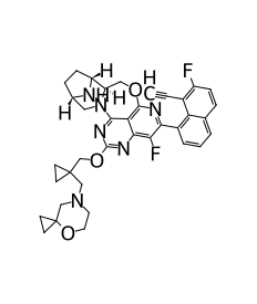 C#Cc1c(F)ccc2cccc(-c3nc4c5c(nc(OCC6(CN7CCOC8(CC8)C7)CC6)nc5c3F)N3C[C@@H]5CC[C@@H](N5)[C@H]3CO4)c12